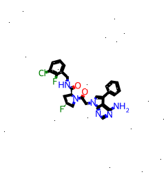 Nc1ncnc2c1c(-c1ccccc1)cn2CC(=O)N1C[C@H](F)C[C@H]1C(=O)NCc1cccc(Cl)c1F